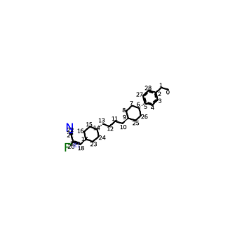 CCc1ccc([C@H]2CC[C@H](CCCC[C@H]3CC[C@H](/C=C(/F)C#N)CC3)CC2)cc1